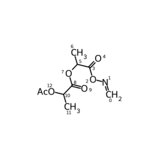 C=NOC(=O)C(C)OC(=O)C(C)OC(C)=O